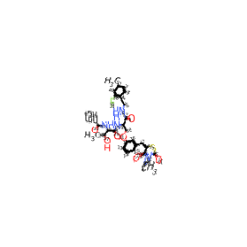 Cc1ccc(CNC(=O)C(COc2cccc(C=C3SC(=O)N(C)C3=O)c2)NC(=O)[C@@H](NC(=O)C(C)(C)C)[C@@H](C)O)c(F)c1